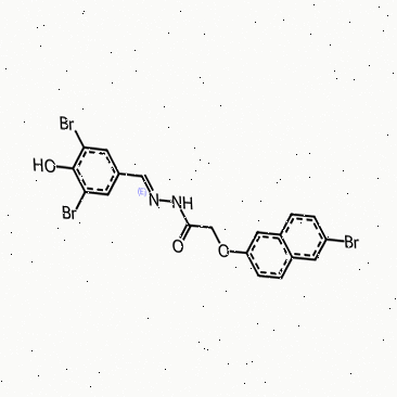 O=C(COc1ccc2cc(Br)ccc2c1)N/N=C/c1cc(Br)c(O)c(Br)c1